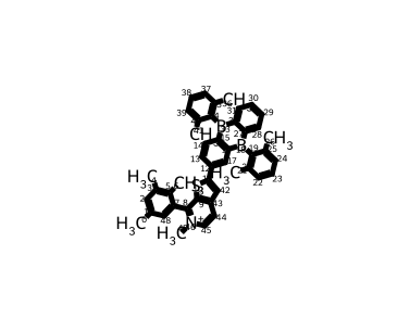 Cc1cc(C)c(C)c(-c2c3sc(-c4ccc5c(c4)B(c4c(C)cccc4C)c4ccccc4B5c4c(C)cccc4C)cc3cc[n+]2C)c1